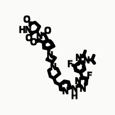 Cc1nc2c(F)cc(-c3nc(Nc4ccc(CC5CCN(C6CN(c7ccc8c(c7)C(=O)N(C7CCC(=O)NC7=O)C8=O)C6)CC5)cn4)ncc3F)cc2n1C(C)C